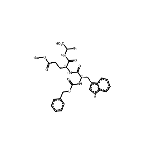 CC(C)C(NC(=O)[C@H](CCC(=O)OC(C)(C)C)NC(=O)[C@H](Cc1c[nH]c2ccccc12)NC(=O)OCc1ccccc1)C(=O)O